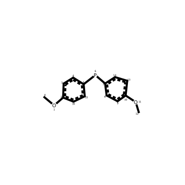 COc1ccc([P]c2ccc(OC)cc2)cc1